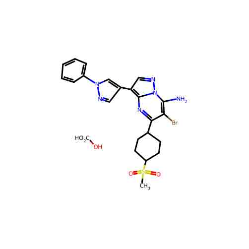 CS(=O)(=O)C1CCC(c2nc3c(-c4cnn(-c5ccccc5)c4)cnn3c(N)c2Br)CC1.O=C(O)O